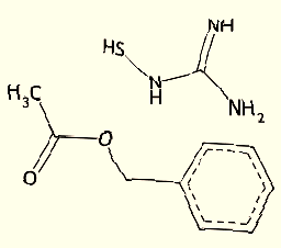 CC(=O)OCc1ccccc1.N=C(N)NS